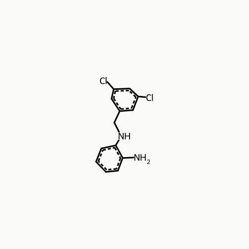 Nc1ccccc1NCc1cc(Cl)cc(Cl)c1